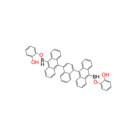 Oc1ccccc1OBc1c2ccccc2c(-c2ccc(-c3c4ccccc4c(BOc4ccccc4O)c4ccccc34)c3ccccc23)c2ccccc12